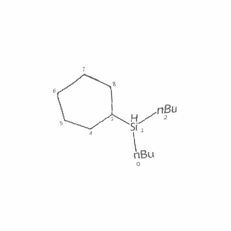 CCCC[SiH](CCCC)C1CCCCC1